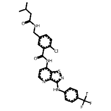 CC(C)CC(=O)NCc1ccc(Cl)c(C(=O)Nc2ccnc3c(Nc4ccc(C(F)(F)F)cc4)nsc23)c1